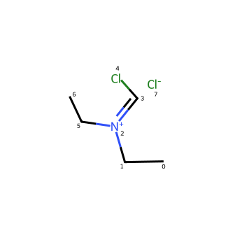 CC[N+](=CCl)CC.[Cl-]